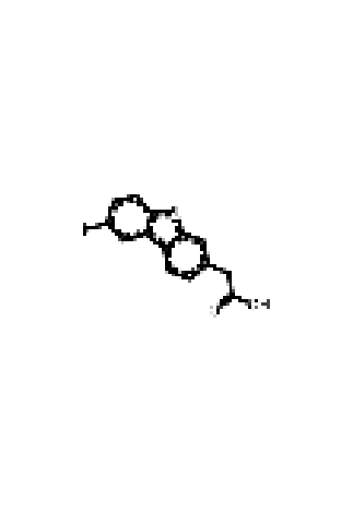 O=C(O)Cc1ccc2c(c1)sc1ccc(I)cc12